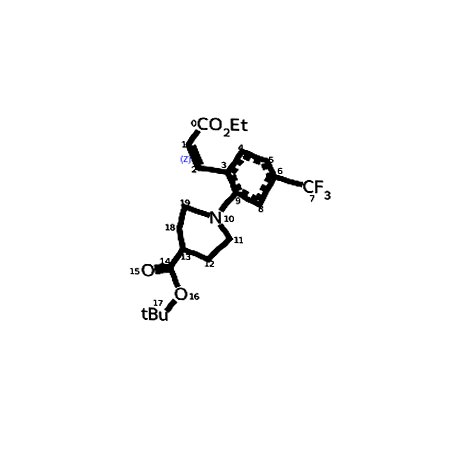 CCOC(=O)/C=C\c1ccc(C(F)(F)F)cc1N1CCC(C(=O)OC(C)(C)C)CC1